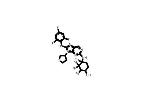 [2H]C1C(O)CCC([2H])(Nc2ncc3nc(Nc4c(F)cc(F)cc4F)n(C4CCOC4)c3n2)C1([2H])[2H]